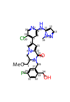 COCC1Cn2cc(-c3cc(Nc4ccnn4C)ncc3Cl)cc2C(=O)N1Cc1cc(F)ccc1CO